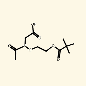 CC(=O)N(CC(=O)O)OCCOC(=O)C(C)(C)C